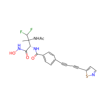 CC(=O)NC(C)(C(F)F)[C@H](NC(=O)c1ccc(C#CC#Cc2ccns2)cc1)C(=O)NO